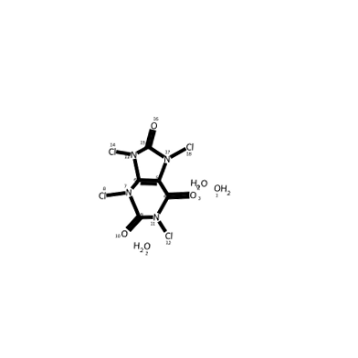 O.O.O.O=c1c2c(n(Cl)c(=O)n1Cl)n(Cl)c(=O)n2Cl